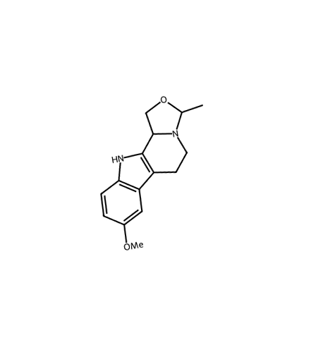 COc1ccc2[nH]c3c(c2c1)CCN1C(C)OCC31